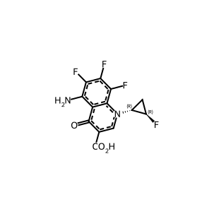 Nc1c(F)c(F)c(F)c2c1c(=O)c(C(=O)O)cn2[C@@H]1C[C@H]1F